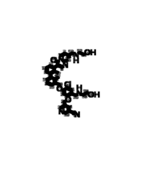 C=C(/C=C\n1c(C)ncc(-c2cccc(-c3cccc(COc4cc(OCc5cncc(C#N)c5)c(CNCCO)cc4Cl)c3C)c2C)c1=O)CNCCO